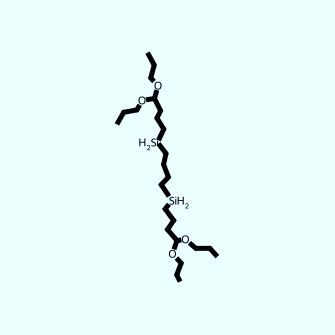 CCCOC(CCC[SiH2]CCCC[SiH2]CCCC(OCCC)OCCC)OCCC